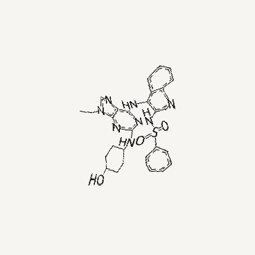 CCn1cnc2c(Nc3c(NS(=O)(=O)c4ccccc4)cnc4ccccc34)nc(NC3CCC(O)CC3)nc21